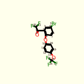 O=C(c1cc(Br)ccc1Oc1ccc(OC(F)(F)F)cc1)C(F)F